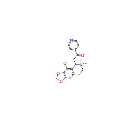 COc1c2c(cc3c1C(CC(=O)c1ccncc1)[N+](C)(C)CC3)OCO2